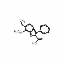 COc1ccc2c(-c3ccccc3)c(C(=O)O)oc2c1OC